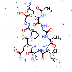 CC[C@H](C)[C@H](NC(=O)[C@H](C)NC(=O)CNC(=O)[C@H](CCC(N)=O)NC(C)=O)C(=O)N[C@@H](C)C(=O)N[C@@H](CCC(N)=O)C(=O)N1CCC[C@H]1C(=O)NCC(=O)O